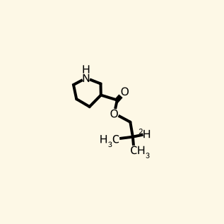 [2H]C(C)(C)COC(=O)C1CCCNC1